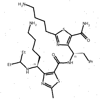 CCC(CC)N[C@@H](CCCCN)c1nc(C)sc1C(=O)N[C@@H](CC(C)C)c1nc(CCCCN)sc1C(N)=O